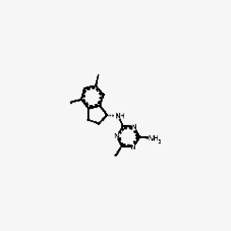 Cc1cc(C)c2c(c1)[C@H](Nc1nc(C)nc(N)n1)CC2